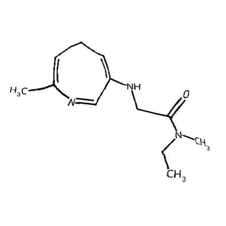 CCN(C)C(=O)CNC1=CCC=C(C)N=C1